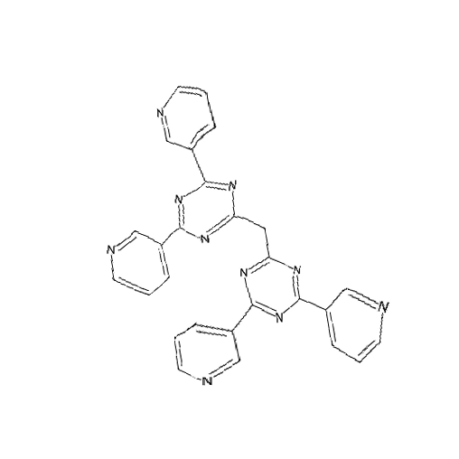 c1cncc(-c2nc(Cc3nc(-c4cccnc4)nc(-c4cccnc4)n3)nc(-c3cccnc3)n2)c1